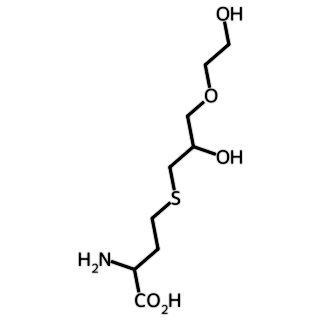 NC(CCSCC(O)COCCO)C(=O)O